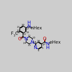 CCCCCCNC(=O)c1ccnc(N2CCN(C(=O)c3cc(NCCCCCC)ccc3C(F)(F)F)CC2)c1